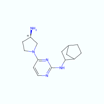 N[C@@H]1CCN(c2ccnc(NC3CC4CCC3C4)n2)C1